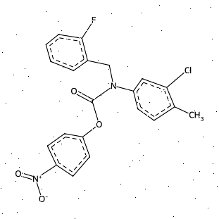 Cc1ccc(N(Cc2ccccc2F)C(=O)Oc2ccc([N+](=O)[O-])cc2)cc1Cl